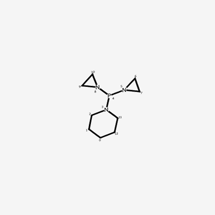 C1CCN(P(N2CC2)N2CC2)CC1